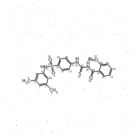 Cc1cc(C)cc(NS(=O)(=O)c2ccc(NC(=S)NC(=O)c3ccccc3OCC(C)C)cc2)c1